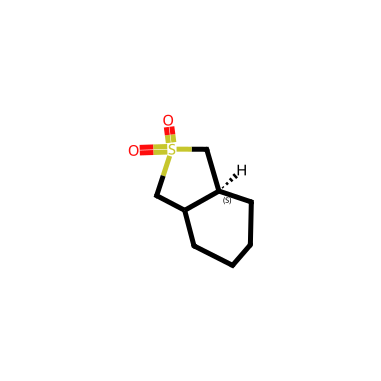 O=S1(=O)CC2CCCC[C@@H]2C1